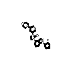 O=C1N(c2cncc(N3CCOCC3)c2)CCN1c1cccc2c1cnn2-c1ccccc1F